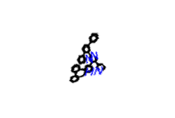 C1=CNCC(c2cnc(-c3cc(-c4ccccc4)ccc3-c3ccccc3)nc2-c2ccc3c(c2)-c2ccccc2-c2ccccc2C3)=C1